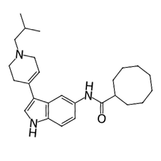 CC(C)CN1CC=C(c2c[nH]c3ccc(NC(=O)C4CCCCCCC4)cc23)CC1